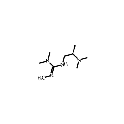 C[C@H](CN/C(=N/C#N)N(C)C)N(C)C